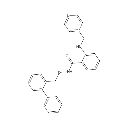 O=C(NOCc1ccccc1-c1ccccc1)c1ccccc1NCc1ccncc1